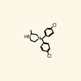 CC1CN(C(c2ccc(Cl)cc2)c2ccc(Cl)cc2)CCN1